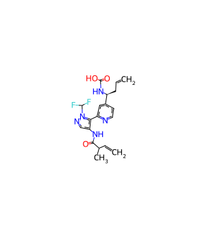 C=CC[C@H](NC(=O)O)c1ccnc(-c2c(NC(=O)C(C)C=C)cnn2C(F)F)c1